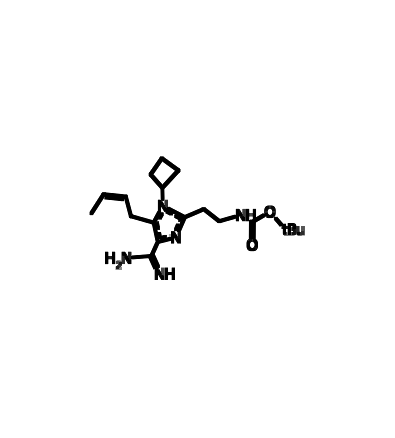 C/C=C\Cc1c(C(=N)N)nc(CCNC(=O)OC(C)(C)C)n1C1CCC1